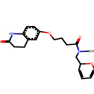 CN(CC1C=CC=CO1)C(=O)CCCOc1ccc2c(c1)CCC(=O)N2